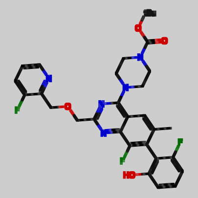 Cc1cc2c(N3CCN(C(=O)OC(C)(C)C)CC3)nc(COCc3ncccc3F)nc2c(F)c1-c1c(O)cccc1F